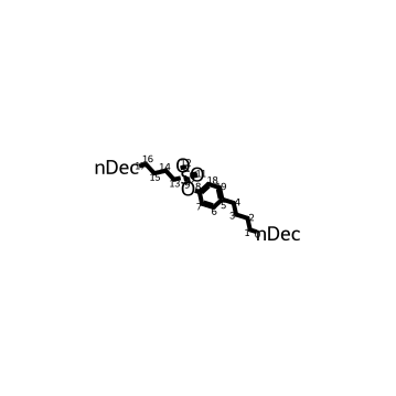 CCCCCCCCCCCCCCc1ccc(OS(=O)(=O)CCCCCCCCCCCCCC)cc1